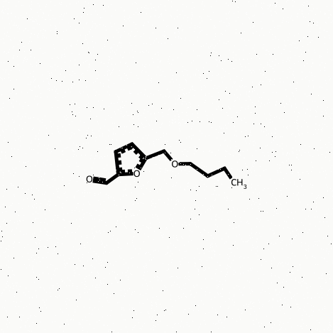 CCCCOCc1ccc(C=O)o1